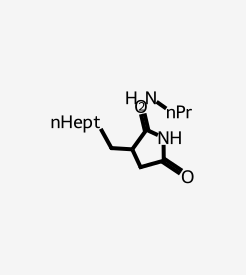 CCCCCCCCC1CC(=O)NC1=O.CCCN